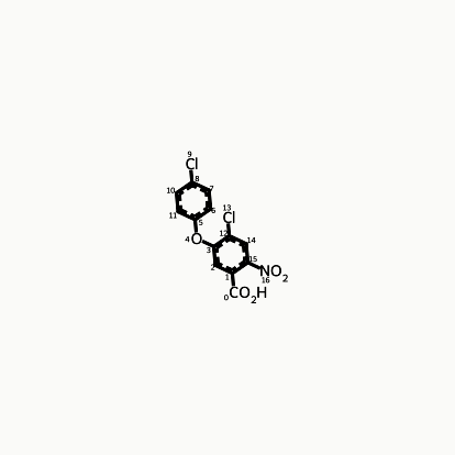 O=C(O)c1cc(Oc2ccc(Cl)cc2)c(Cl)cc1[N+](=O)[O-]